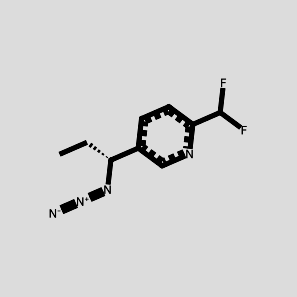 CC[C@@H](N=[N+]=[N-])c1ccc(C(F)F)nc1